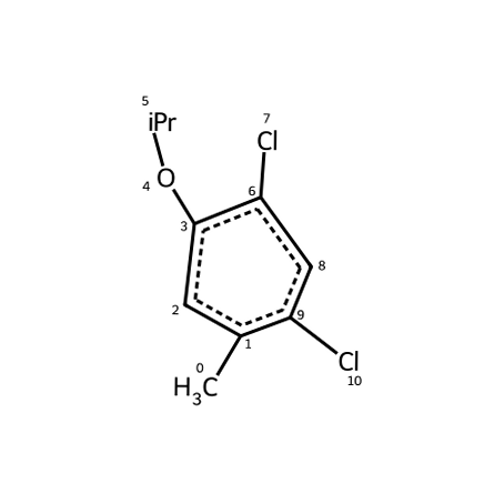 Cc1cc(OC(C)C)c(Cl)cc1Cl